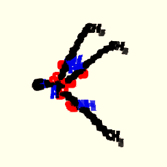 CCCCCCCCCCNC(=O)CCCC(=O)OCC(COC(=O)CCCC(=O)NCCCCCCCCCC)(COC(=O)CCCC(=O)NCCCCCCCCCC)NC(=O)CCN1CCCCC1